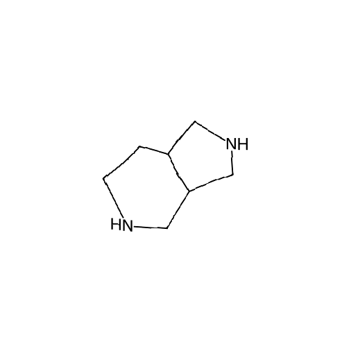 C1CC2CNCC2CN1